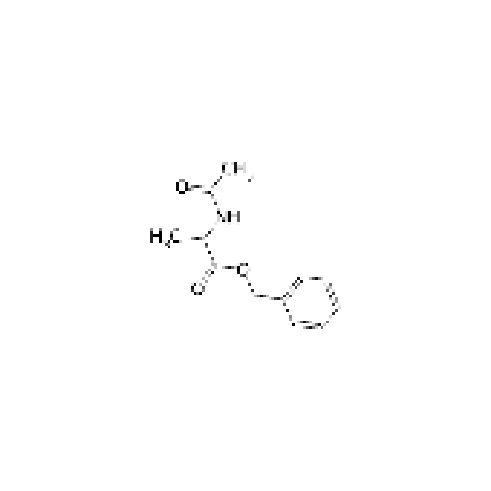 CC(=O)NC(C)C(=O)OCc1ccccc1